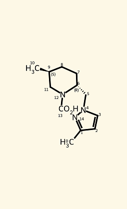 Cc1ccn(C[C@H]2CC[C@H](C)CN2C(=O)O)n1